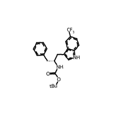 CC(C)(C)OC(=O)N[C@H](Cc1ccccc1)Cc1c[nH]c2ccc(C(F)(F)F)cc12